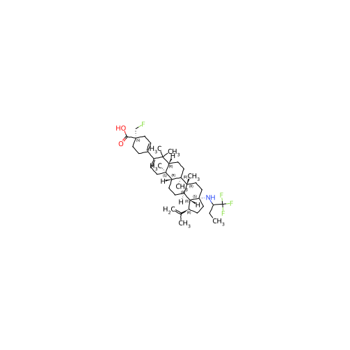 C=C(C)[C@@H]1CC[C@]2(NC(CC)C(F)(F)F)CC[C@]3(C)[C@H](CC[C@@H]4[C@@]5(C)CC=C(C6=CC[C@](CF)(C(=O)O)CC6)C(C)(C)[C@@H]5CC[C@]43C)[C@@H]12